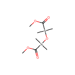 COC(=O)[Si](C)(C)O[Si](C)(C)C(=O)OC